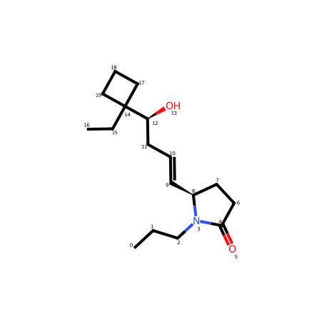 CCCN1C(=O)CC[C@@H]1/C=C/C[C@H](O)C1(CC)CCC1